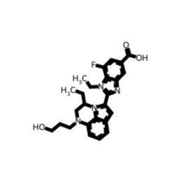 CCC1CN(CCCO)c2cccc3cc(-c4nc5cc(C(=O)O)cc(F)c5n4CC)n1c23